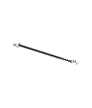 [CH2]CCCCCCCCCCCCCCCCCCCCCCCCCCCCCCCCCCCCCCCCCCCCCCCC